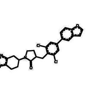 O=C1C(Cc2c(Cl)cc(-c3ccc4occc4c3)cc2Cl)CCN1C1CCc2[nH]cnc2C1